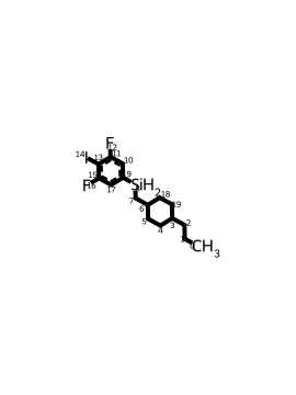 CCCC1CCC(C[SiH2]c2cc(F)c(I)c(F)c2)CC1